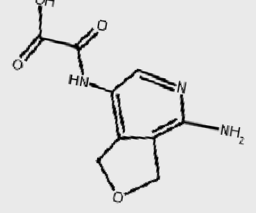 Nc1ncc(NC(=O)C(=O)O)c2c1COC2